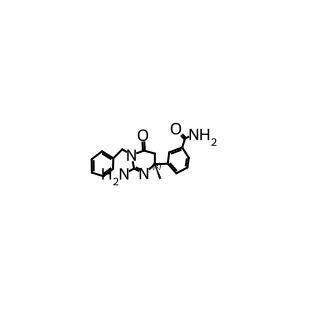 C[C@]1(c2cccc(C(N)=O)c2)CC(=O)N(Cc2ccccc2)C(N)=N1